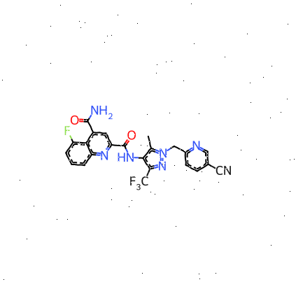 Cc1c(NC(=O)c2cc(C(N)=O)c3c(F)cccc3n2)c(C(F)(F)F)nn1Cc1ccc(C#N)cn1